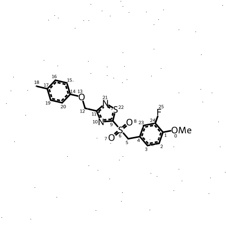 COc1ccc(CS(=O)(=O)c2nc(COc3ccc(C)cc3)ns2)cc1F